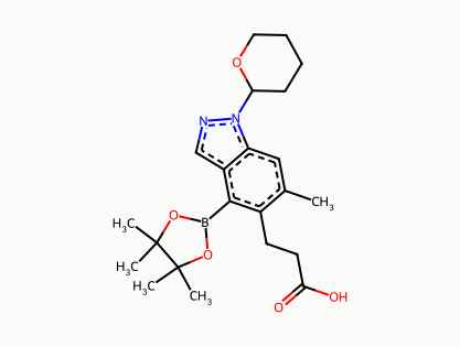 Cc1cc2c(cnn2C2CCCCO2)c(B2OC(C)(C)C(C)(C)O2)c1CCC(=O)O